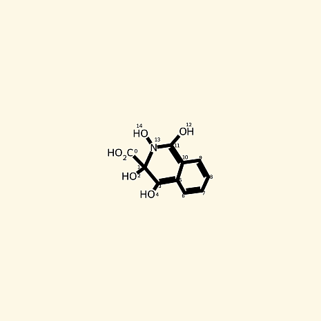 O=C(O)C1(O)C(O)=c2ccccc2=C(O)N1O